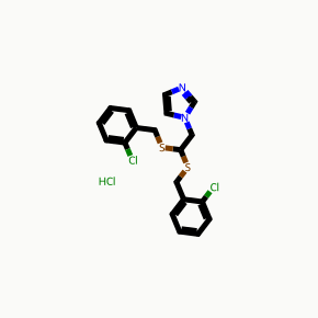 Cl.Clc1ccccc1CSC(Cn1ccnc1)SCc1ccccc1Cl